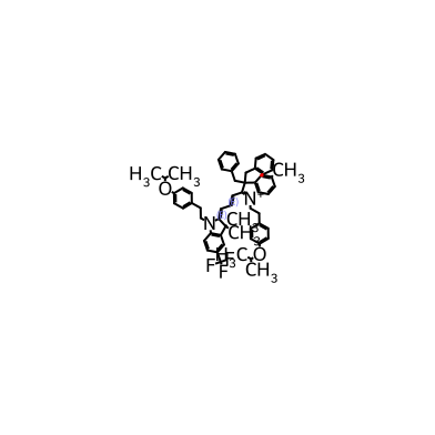 Cc1ccc2c(c1)C(Cc1ccccc1)(Cc1ccccc1)C(/C=C/C=C1/N(CCc3ccc(OC(C)C)cc3)c3ccc(C(F)(F)F)cc3C1(C)C)=[N+]2CCc1ccc(OC(C)C)cc1